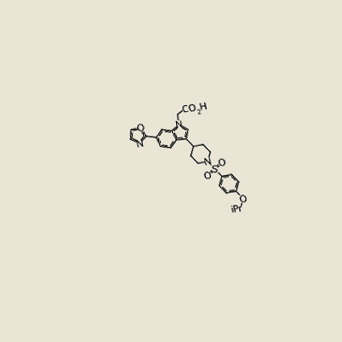 CC(C)Oc1ccc(S(=O)(=O)N2CCC(c3cn(CC(=O)O)c4cc(-c5ncco5)ccc34)CC2)cc1